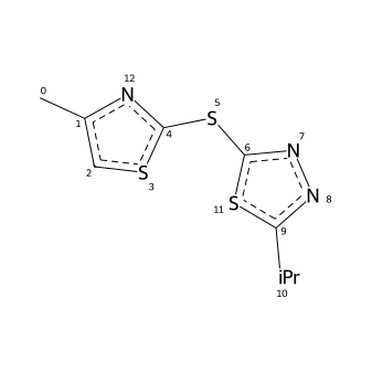 Cc1csc(Sc2nnc(C(C)C)s2)n1